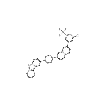 FC(F)(F)c1cc(Cl)cc(-c2ccc3ccc(-c4ccc(-c5ccc6sc7ccccc7c6c5)cc4)cc3c2)c1